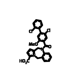 COc1cc(-c2ccccc2Cl)c(Cl)cc1C(=O)N1Cc2ccc(C(=O)O)n2Cc2ccccc21